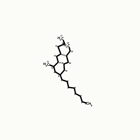 CCCCCCCCC([CH]C(C)CCCCCC)CCCCCC